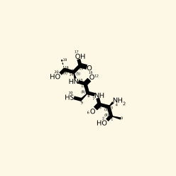 C[C@@H](O)[C@H](N)C(=O)N[C@@H](CS)C(=O)N[C@H](C(=O)O)[C@@H](C)O